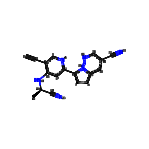 C#Cc1cnc(-c2ccc3cc(C#N)cnn23)cc1N[C@H](C)C#N